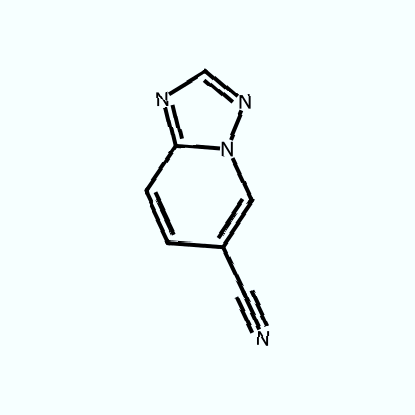 N#Cc1ccc2ncnn2c1